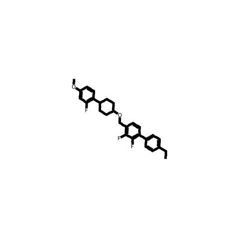 CCc1ccc(-c2ccc(COC3CCC(c4ccc(OC)cc4F)CC3)c(F)c2F)cc1